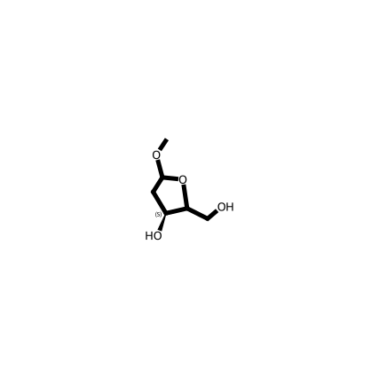 COC1C[C@H](O)C(CO)O1